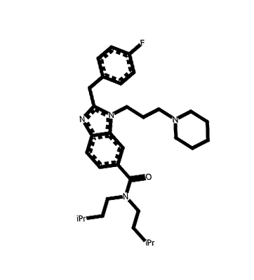 CC(C)CCN(CCC(C)C)C(=O)c1ccc2nc(Cc3ccc(F)cc3)n(CCCN3CCCCC3)c2c1